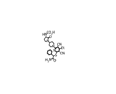 CCc1c(C#N)c(SC(C(N)=O)c2ccccc2)nc(N2CCC(N3CCC(NC(=O)O)C3=O)CC2)c1C#N